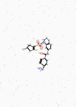 Nc1ccc(C(=O)Nc2ccc3c(c2)N(S(=O)(=O)c2ccc(F)cc2)CCC3)cc1